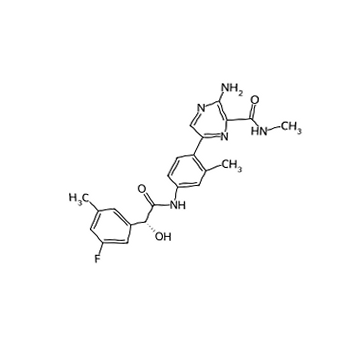 CNC(=O)c1nc(-c2ccc(NC(=O)[C@H](O)c3cc(C)cc(F)c3)cc2C)cnc1N